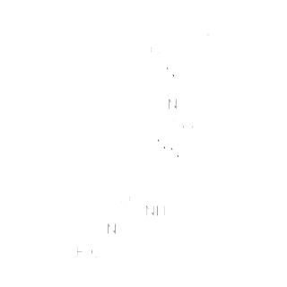 O=C(Nc1ccc2nn(CC(=O)N3CCN(C(=O)c4ccccc4)CC3)cc2c1)c1csc(C(F)(F)F)n1